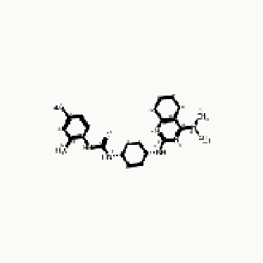 CCCCc1ccc(NC(=S)N[C@H]2CC[C@@H](Nc3nc4c(c(N(C)C)n3)CCCC4)CC2)c(C)c1